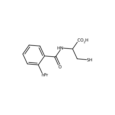 CCCc1ccccc1C(=O)NC(CS)C(=O)O